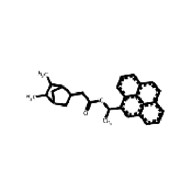 CC(OC(=O)CC1CC2CC1C(C)C2C)c1cc2cccc3ccc4cccc1c4c32